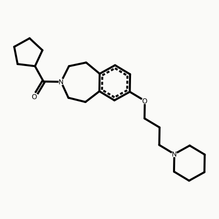 O=C(C1CCCC1)N1CCc2ccc(OCCCN3CCCCC3)cc2CC1